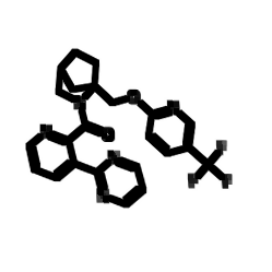 O=C(c1ncccc1-c1ncccn1)N1CC2CCC1(COc1ccc(C(F)(F)F)cn1)C2